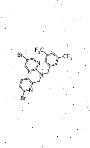 FC(F)(F)c1cc(CN(Cc2cccc(Br)n2)c2ncc(Br)cn2)cc(C(F)(F)F)c1